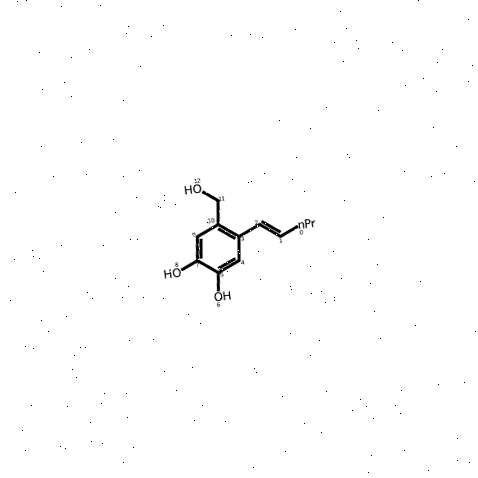 CCCC=Cc1cc(O)c(O)cc1CO